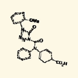 COc1ccccc1-n1nnn(C(=O)N(C2=CCC(C(=O)O)C=C2)c2ccccc2)c1=O